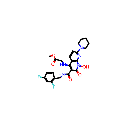 COC(=O)CNc1c(C(=O)NCc2ccc(F)cc2F)c(=O)n(O)c2nc(N3CCCCC3)ccc12